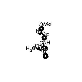 COc1ccc2c(Oc3ccc(NC(=O)C4=C5OC(CN(C)C)CN5N(c5ccccc5)OC4)cc3F)ccnc2c1